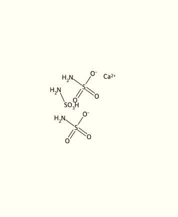 NS(=O)(=O)O.NS(=O)(=O)[O-].NS(=O)(=O)[O-].[Ca+2]